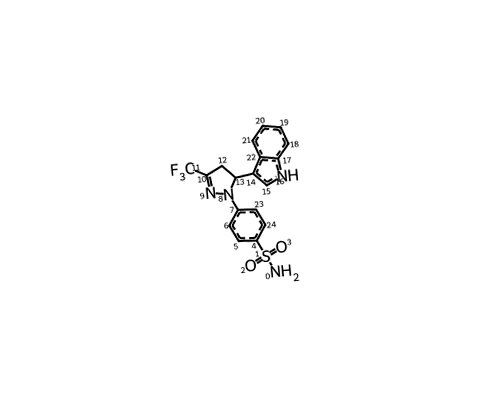 NS(=O)(=O)c1ccc(N2N=C(C(F)(F)F)CC2c2c[nH]c3ccccc23)cc1